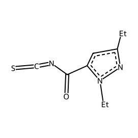 CCc1cc(C(=O)N=C=S)n(CC)n1